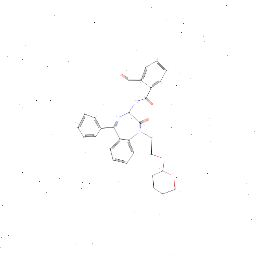 O=Cc1ccccc1C(=O)NC1N=C(c2ccccc2)c2ccccc2N(CCOC2CCCCO2)C1=O